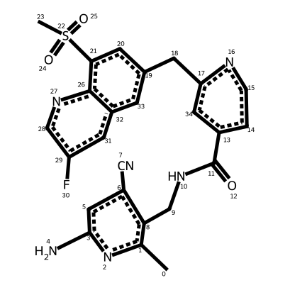 Cc1nc(N)cc(C#N)c1CNC(=O)c1ccnc(Cc2cc(S(C)(=O)=O)c3ncc(F)cc3c2)c1